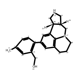 Cc1ccc(-c2cc3c4c(c2)[C@@H]2CNC[C@@H]2CN4CCC3)c(CO)c1